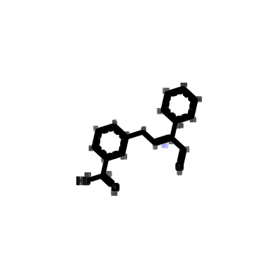 O=C/C(=C/Cc1cccc(C(=O)O)c1)c1ccccc1